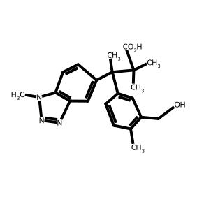 Cc1ccc(C(C)(c2ccc3c(c2)nnn3C)C(C)(C)C(=O)O)cc1CO